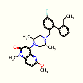 CCc1ccccc1-c1cc(F)ccc1CN1C[C@H](C)N(c2cc(=O)n(C)c3ccc(OC)nc23)C[C@H]1C